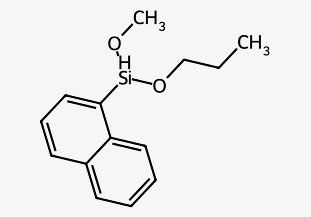 CCCO[SiH](OC)c1cccc2ccccc12